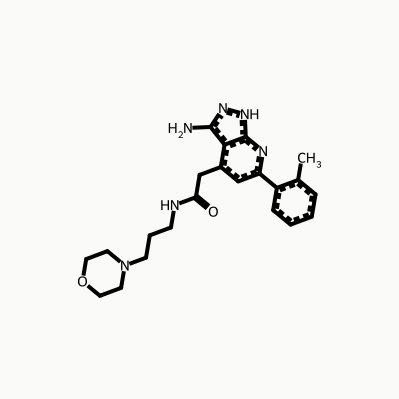 Cc1ccccc1-c1cc(CC(=O)NCCCN2CCOCC2)c2c(N)n[nH]c2n1